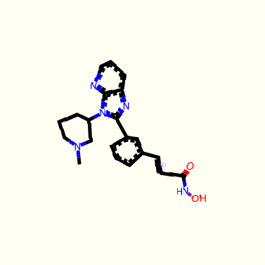 CN1CCCC(n2c(-c3cccc(/C=C/C(=O)NO)c3)nc3cccnc32)C1